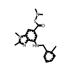 Cc1ccccc1CNc1cc(C(=O)SN(C)C)cc2c1nc(C)n2C